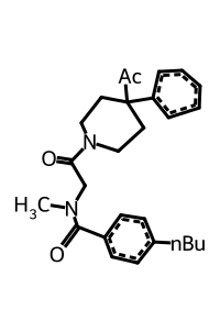 CCCCc1ccc(C(=O)N(C)CC(=O)N2CCC(C(C)=O)(c3ccccc3)CC2)cc1